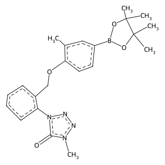 Cc1cc(B2OC(C)(C)C(C)(C)O2)ccc1OCc1ccccc1-n1nnn(C)c1=O